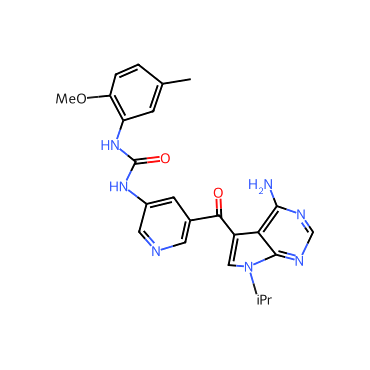 COc1ccc(C)cc1NC(=O)Nc1cncc(C(=O)c2cn(C(C)C)c3ncnc(N)c23)c1